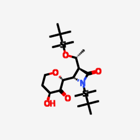 C[C@@H](O[Si](C)(C)C(C)(C)C)[C@H]1C(=O)N([Si](C)(C)C(C)(C)C)[C@@H]1[C@H]1OCC[C@H](O)C1=O